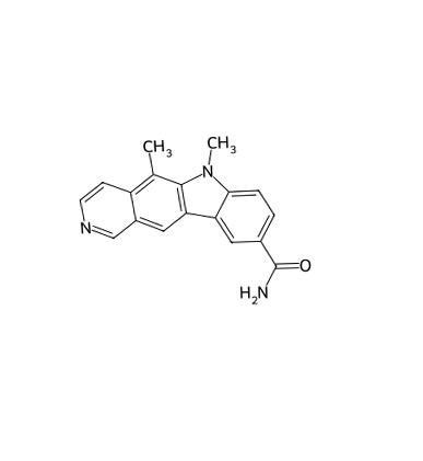 Cc1c2ccncc2cc2c3cc(C(N)=O)ccc3n(C)c12